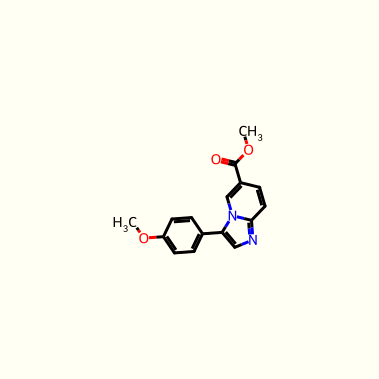 COC(=O)c1ccc2ncc(-c3ccc(OC)cc3)n2c1